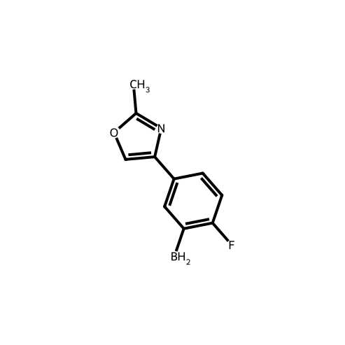 Bc1cc(-c2coc(C)n2)ccc1F